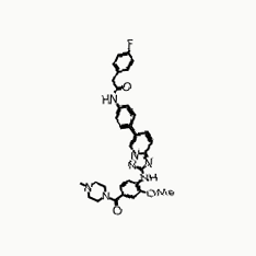 COc1cc(C(=O)N2CCN(C)CC2)ccc1Nc1nc2ccc(-c3ccc(NC(=O)Cc4ccc(F)cc4)cc3)cn2n1